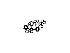 CCOC(=O)C1CCN(c2cccc(Cl)c2-c2cc(-c3cccc(NC(=O)CCl)c3)on2)CC1